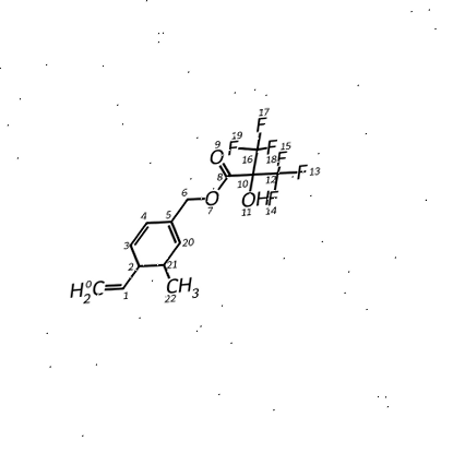 C=CC1C=CC(COC(=O)C(O)(C(F)(F)F)C(F)(F)F)=CC1C